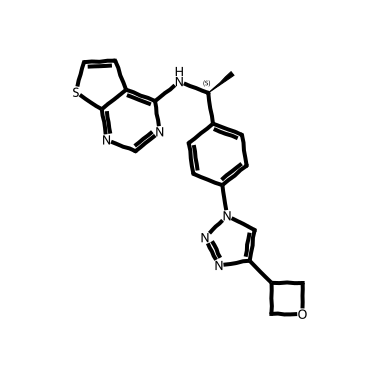 C[C@H](Nc1ncnc2sccc12)c1ccc(-n2cc(C3COC3)nn2)cc1